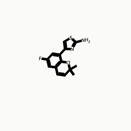 CC1(C)C=Cc2cc(F)cc(-c3csc(N)n3)c2O1